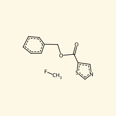 CF.O=C(OCc1ccccc1)c1cncs1